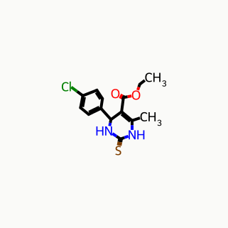 CCOC(=O)C1=C(C)NC(=S)NC1c1ccc(Cl)cc1